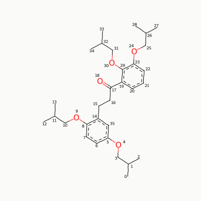 CC(C)COc1ccc(OCC(C)C)c(CCC(=O)c2cccc(OCC(C)C)c2OCC(C)C)c1